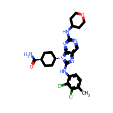 Cc1ccc(Nc2nc3cnc(NC4CCOCC4)nc3n2[C@H]2CC[C@H](C(N)=O)CC2)c(Cl)c1Cl